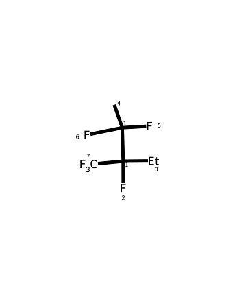 CCC(F)(C(C)(F)F)C(F)(F)F